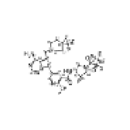 COc1ncc(-c2cc(CN3CCC4(CC3)CC4(F)F)c3c(N)ncnn23)cc1C(=O)N[C@@H]1CN(C(=O)[C@@](C)(O)C(F)(F)F)C[C@@H]1F